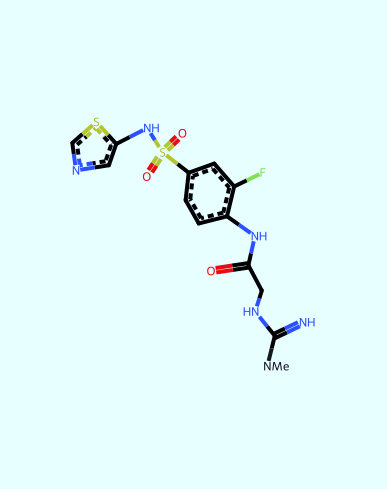 CNC(=N)NCC(=O)Nc1ccc(S(=O)(=O)Nc2cncs2)cc1F